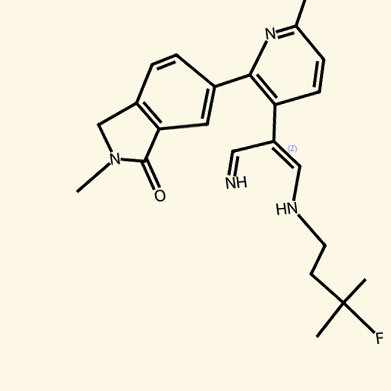 Cc1ccc(/C(C=N)=C/NCCC(C)(C)F)c(-c2ccc3c(c2)C(=O)N(C)C3)n1